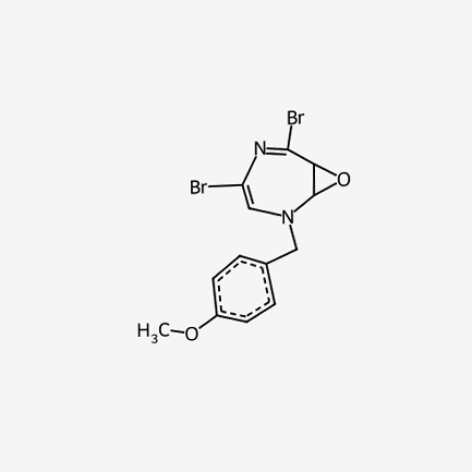 COc1ccc(CN2C=C(Br)N=C(Br)C3OC32)cc1